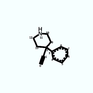 C#CC1(c2ccccc2)CCNCC1